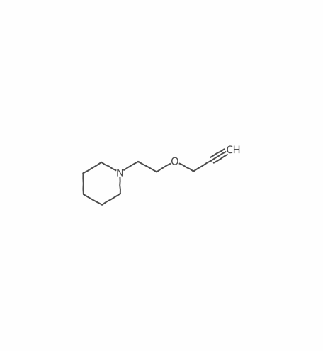 C#CCOCCN1CCCCC1